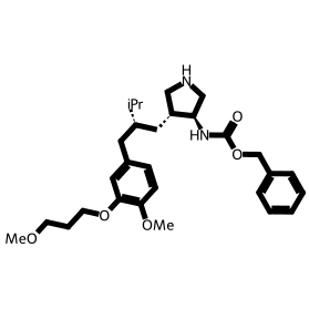 COCCCOc1cc(C[C@@H](C[C@@H]2CNC[C@H]2NC(=O)OCc2ccccc2)C(C)C)ccc1OC